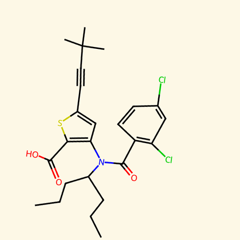 CCCC(CCC)N(C(=O)c1ccc(Cl)cc1Cl)c1cc(C#CC(C)(C)C)sc1C(=O)O